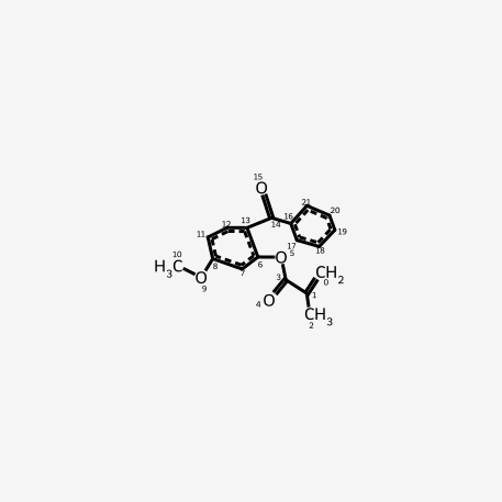 C=C(C)C(=O)Oc1cc(OC)ccc1C(=O)c1ccccc1